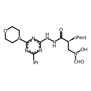 CCCCC[C@@H](CN(O)C=O)C(=O)NNc1nc(C(C)C)nc(N2CCOCC2)n1